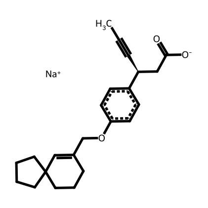 CC#C[C@@H](CC(=O)[O-])c1ccc(OCC2=CC3(CCCC3)CCC2)cc1.[Na+]